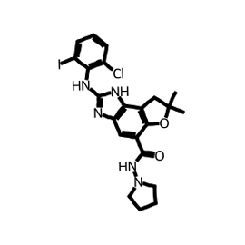 CC1(C)Cc2c(c(C(=O)NN3CCCC3)cc3nc(Nc4c(Cl)cccc4I)[nH]c23)O1